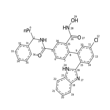 CCCC(NC(=O)c1ccc(-c2cc(Cl)ccc2-c2nc3ccccc3[nH]2)c(C(=O)NO)c1)c1ccccc1